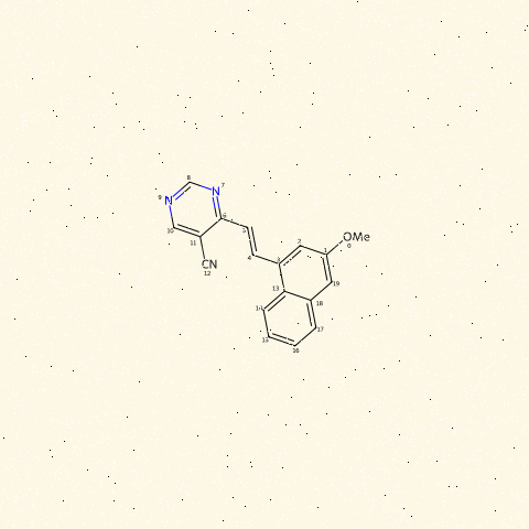 COc1cc(/C=C/c2ncncc2C#N)c2ccccc2c1